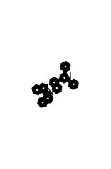 c1ccc(-c2cc(-c3cccc4c(-n5c6ccc7ccccc7c6c6c7ccccc7ccc65)cccc34)cc(-c3ccccc3)n2)cc1